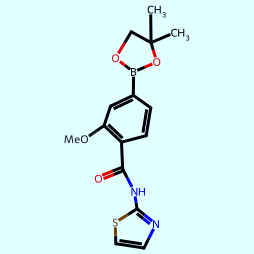 COc1cc(B2OCC(C)(C)O2)ccc1C(=O)Nc1nccs1